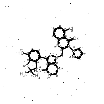 CC1(C)Cc2c(-c3nn(Cc4nc5cccc(Cl)c5c(=O)n4-n4cccn4)c4ncnc(N)c34)ccc(O)c2O1